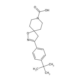 CC(C)(C)c1ccc(C2=NOC3(CCN(C(=O)O)CC3)C2)cc1